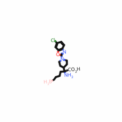 BCCCCC(N)(C(=O)O)C1CCN(c2nc3ccc(Cl)cc3o2)CC1